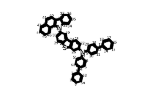 c1ccc(-c2ccc(N(c3ccc(-c4ccccc4)cc3)c3ccc4c(c3)sc3ccc(-n5c6ccccc6c6ccc7ccccc7c65)cc34)cc2)cc1